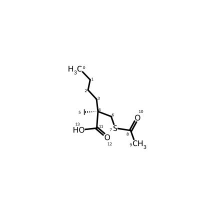 CCCC[C@@](I)(CSC(C)=O)C(=O)O